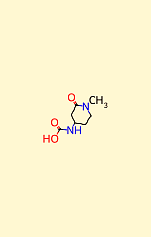 CN1CCC(NC(=O)O)CC1=O